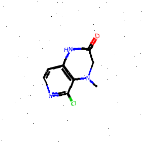 CN1CC(=O)Nc2ccnc(Cl)c21